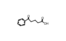 O=C(O)C[CH]CC(=O)c1ccccc1